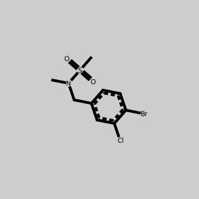 CN(Cc1ccc(Br)c(Cl)c1)S(C)(=O)=O